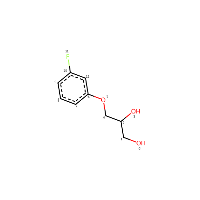 OCC(O)COc1c[c]cc(F)c1